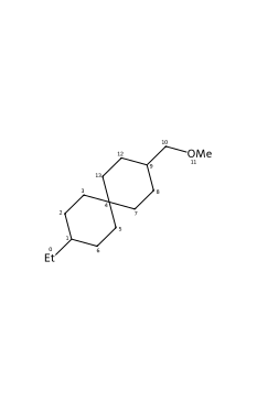 CCC1CCC2(CC1)CCC(COC)CC2